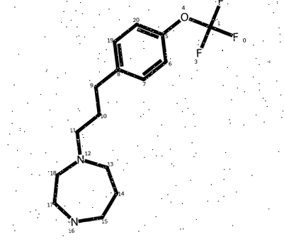 FC(F)(F)Oc1ccc(CCCN2CCC[N]CC2)cc1